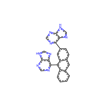 c1ccc2c(-c3ncnc4[nH]cnc34)c3cc(-c4ncnc5[nH]cnc45)ccc3cc2c1